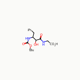 CC(C)CC(NC(=O)OC(C)(C)C)C(O)C(=O)NCC(=O)O